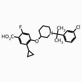 CC(C)(c1cccc(Cl)c1)N1CCCC(Oc2cc(F)c(C(=O)O)cc2C2CC2)C1